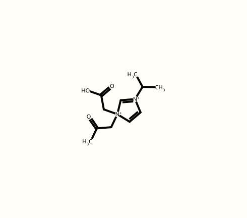 CC(=O)C[N+]1(CC(=O)O)C=C[N+](C(C)C)=C1